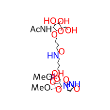 COC[C@H]1O[C@@H](n2ccc(=O)[nH]c2=O)C(CCCCCCCNC(=O)CCCCO[C@@H]2O[C@H](CO)[C@H](O)[C@H](O)[C@H]2NC(C)=O)[C@H]1OP(=O)(O)OC